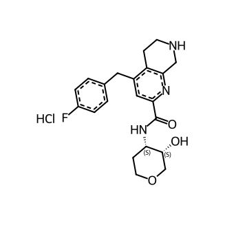 Cl.O=C(N[C@H]1CCOC[C@H]1O)c1cc(Cc2ccc(F)cc2)c2c(n1)CNCC2